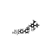 CCOc1cc(CN2CC3(CC(N4CCC(C)(C(=O)O)CC4)C=CO3)C2)cc(C2CC2)c1C1CCC1